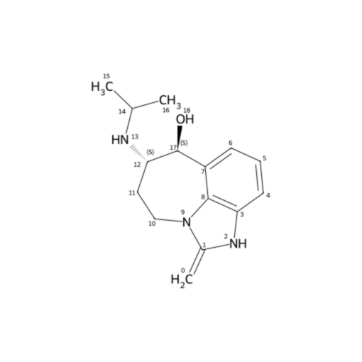 C=C1Nc2cccc3c2N1CC[C@H](NC(C)C)[C@H]3O